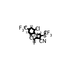 N#Cc1c(SC(F)(F)F)cn(-c2c(Cl)cc(C(F)(F)F)cc2Cl)c1CF